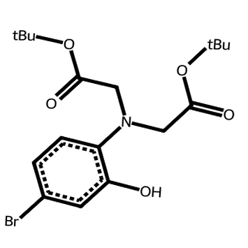 CC(C)(C)OC(=O)CN(CC(=O)OC(C)(C)C)c1ccc(Br)cc1O